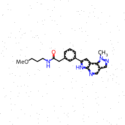 COCCCNC(=O)Cc1cccc(-c2cc3c(ncc4cnn(C)c43)[nH]2)c1